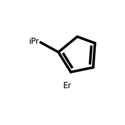 CC(C)C1=CC=CC1.[Er]